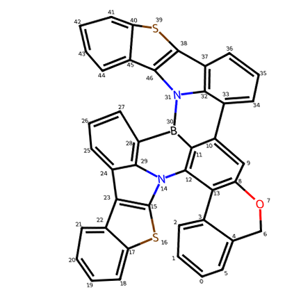 c1ccc2c(c1)COc1cc3c4c(c1-2)-n1c2sc5ccccc5c2c2cccc(c21)B4n1c2c-3cccc2c2sc3ccccc3c21